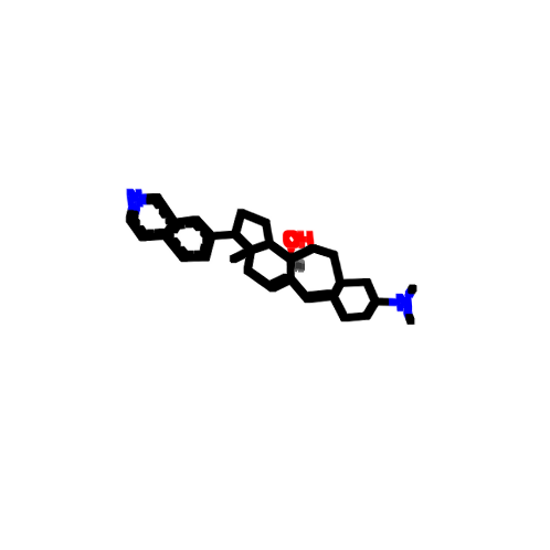 CN(C)C1CCC2=CC3=CCC4(C)C(c5ccc6ccncc6c5)CCC4[C@@]3(O)CCC2C1